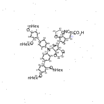 CCCCCCOc1ccc(-c2ccc(N(c3ccc(-c4ccc(OCCCCCC)cc4OCCCCCC)cc3)c3sc(-c4sc(/C=C(\C#N)C(=O)O)c5c4OCCO5)c4c3OCCO4)cc2)c(OCCCCCC)c1